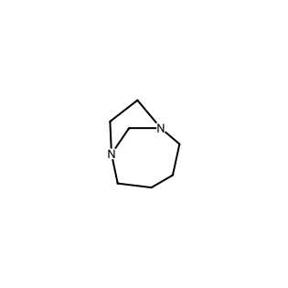 C1CCN2CCN(C1)C2